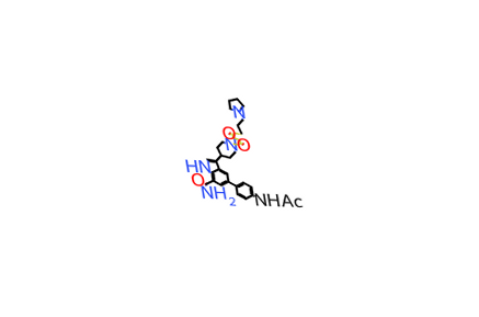 CC(=O)Nc1ccc(-c2cc(C(N)=O)c3[nH]cc(C4CCN(S(=O)(=O)CCCN5CCCC5)CC4)c3c2)cc1